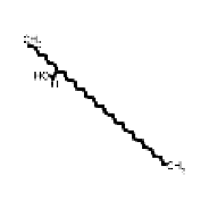 CCCCCCCCCCCCCCCCCCCCCCCC(CCCCCCC)C(=O)O